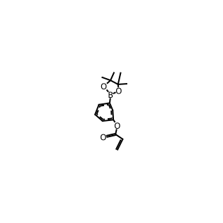 C=CC(=O)Oc1cccc(B2OC(C)(C)C(C)(C)O2)c1